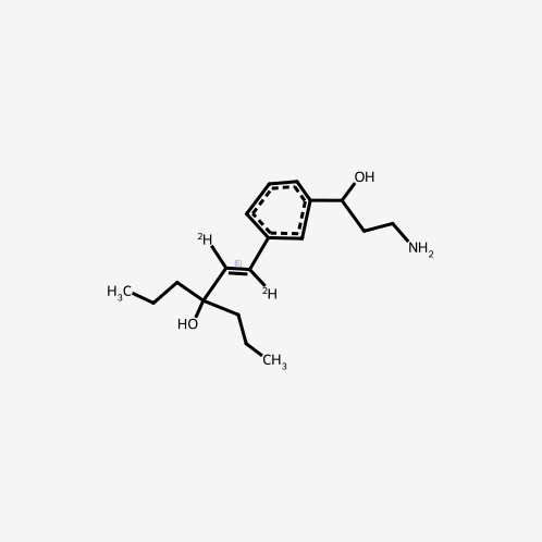 [2H]/C(=C(/[2H])C(O)(CCC)CCC)c1cccc(C(O)CCN)c1